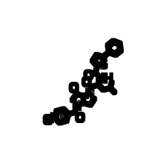 CC(C)CC(NC(=O)c1ccc(-c2ccccc2)s1)C(=O)N1CCC2C1C(=O)CN2C(=O)c1cc[n+]([O-])cc1